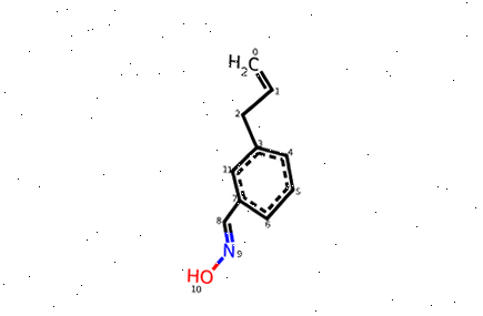 C=CCc1cccc(/C=N/O)c1